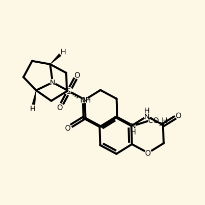 O=C(O)NC1CCN(S(=O)(=O)N2[C@@H]3CC[C@H]2C[C@@H](NC(=O)c2ccc4c(c2)NC(=O)CO4)C3)CC1